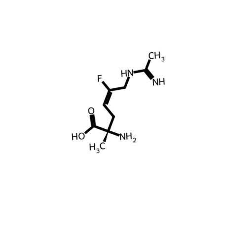 CC(=N)NC/C(F)=C\C[C@](C)(N)C(=O)O